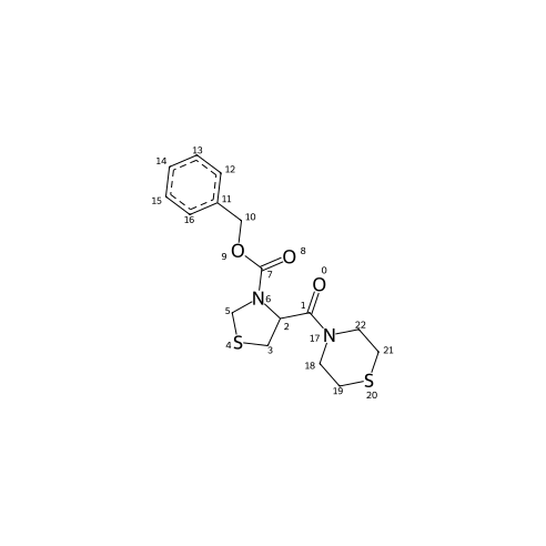 O=C(C1CSCN1C(=O)OCc1ccccc1)N1CCSCC1